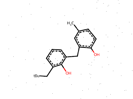 Cc1ccc(O)c(Cc2cccc(CC(C)(C)C)c2O)c1